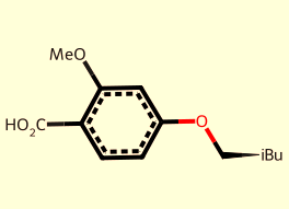 CC[C@H](C)COc1ccc(C(=O)O)c(OC)c1